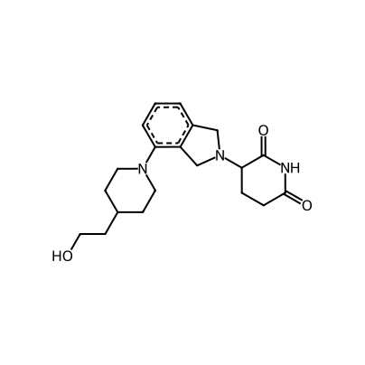 O=C1CCC(N2Cc3cccc(N4CCC(CCO)CC4)c3C2)C(=O)N1